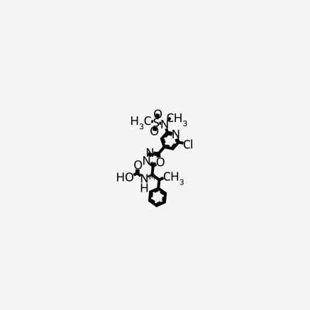 CC(c1ccccc1)[C@@H](NC(=O)O)c1nnc(-c2cc(Cl)nc(N(C)S(C)(=O)=O)c2)o1